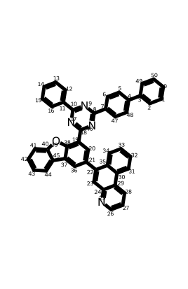 c1ccc(-c2ccc(-c3nc(-c4ccccc4)nc(-c4cc(-c5cc6ncccc6c6ccccc56)cc5c4oc4ccccc45)n3)cc2)cc1